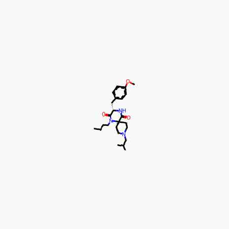 CCCCN1C(=O)[C@H](Cc2ccc(OC)cc2)NC(=O)C12CCN(CC(C)C)CC2